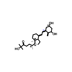 C=C1/C(=C\C=C2CCC[C@@]3(C)C2CC[C@@H]3[C@H](C)CCC(=O)C(C)(C)O)C[C@@H](O)CC1O